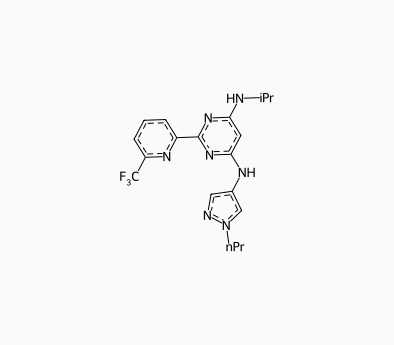 CCCn1cc(Nc2cc(NC(C)C)nc(-c3cccc(C(F)(F)F)n3)n2)cn1